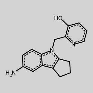 Nc1ccc2c(c1)c1c(n2Cc2ncccc2O)CCC1